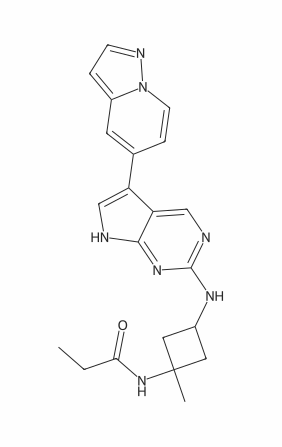 CCC(=O)NC1(C)CC(Nc2ncc3c(-c4ccn5nccc5c4)c[nH]c3n2)C1